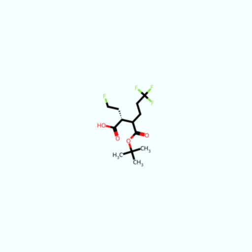 CC(C)(C)OC(=O)C(CCC(F)(F)F)[C@@H](CCF)C(=O)O